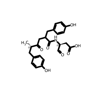 C[C@@H](Cc1ccc(O)cc1)C(=O)CC(Cc1ccc(O)cc1)C(=O)N[C@H](C=O)CC(=O)O